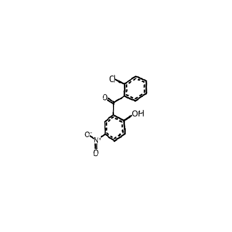 O=C(c1cc([N+](=O)[O-])ccc1O)c1ccccc1Cl